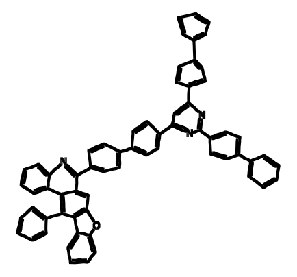 c1ccc(-c2ccc(-c3cc(-c4ccc(-c5ccc(-c6nc7ccccc7c7c(-c8ccccc8)c8c(cc67)oc6ccccc68)cc5)cc4)nc(-c4ccc(-c5ccccc5)cc4)n3)cc2)cc1